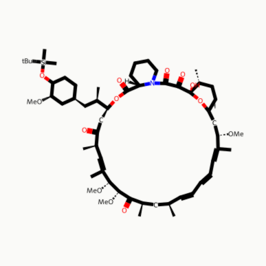 CO[C@H]1C[C@@H]2CC[C@@H](C)[C@@](O)(O2)C(=O)C(=O)N2CCCC[C@H]2C(=O)O[C@H]([C@H](C)C[C@@H]2CCC(O[Si](C)(C)C(C)(C)C)[C@H](OC)C2)CC(=O)[C@H](C)/C=C(\C)[C@@H](OC)[C@@H](OC)C(=O)[C@H](C)C[C@H](C)/C=C/C=C/C=C/1C